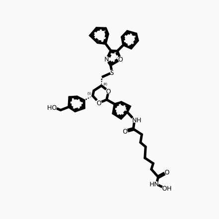 O=C(CCCCCCC(=O)Nc1ccc(C2O[C@@H](CSc3nc(-c4ccccc4)c(-c4ccccc4)o3)C[C@@H](c3ccc(CO)cc3)O2)cc1)NO